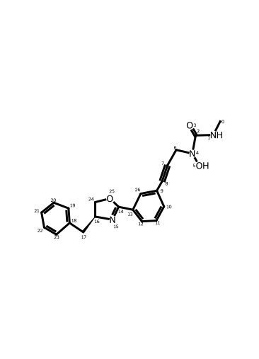 CNC(=O)N(O)CC#Cc1cccc(C2=N[C@@H](Cc3ccccc3)CO2)c1